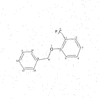 FC(F)(F)c1[c]cccc1OCc1ccccc1